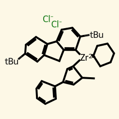 CC1C=C(c2ccccc2)C=[C]1[Zr+2](=[C]1CCCCC1)[c]1c(C(C)(C)C)ccc2c1Cc1cc(C(C)(C)C)ccc1-2.[Cl-].[Cl-]